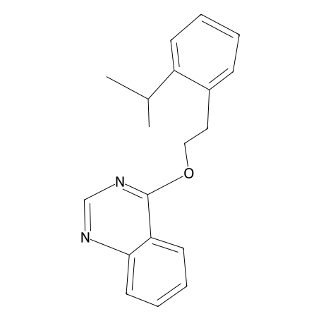 CC(C)c1ccccc1CCOc1ncnc2ccccc12